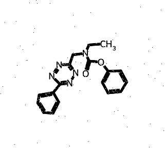 CCN(Cc1nnc(-c2ccccc2)nn1)C(=O)Oc1ccccc1